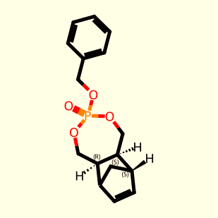 O=P1(OCc2ccccc2)OC[C@H]2[C@@H]3C=CC(C3)[C@H]2CO1